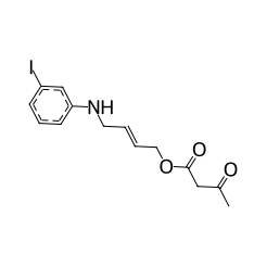 CC(=O)CC(=O)OCC=CCNc1cccc(I)c1